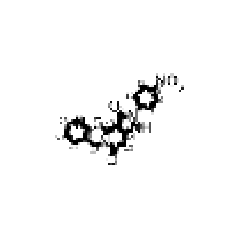 Cc1c2c(=O)n(-c3ccc([N+](=O)[O-])cc3)[nH]c2cc(=O)n1Cc1ccccc1